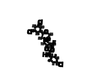 O=C(Nc1ccc(Cl)cc1)O[C@@H](CN1CCOC(c2cc(Cl)cc(Cl)c2)C1)C(F)(F)F